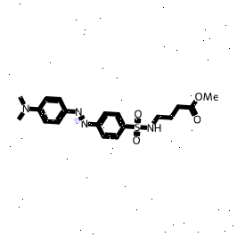 COC(=O)CCCNS(=O)(=O)c1ccc(/N=N/c2ccc(N(C)C)cc2)cc1